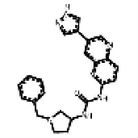 O=C(Nc1ccc2ncc(-c3cn[nH]c3)cc2n1)NC1CCN(Cc2ccccc2)C1